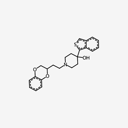 OC1(c2scc3ccccc23)CCN(CCC2COc3ccccc3O2)CC1